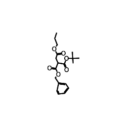 CCCOC(=O)CC(C(=O)OCc1ccccc1)C(=O)OC(C)(C)C